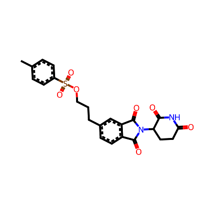 Cc1ccc(S(=O)(=O)OCCCc2ccc3c(c2)C(=O)N(C2CCC(=O)NC2=O)C3=O)cc1